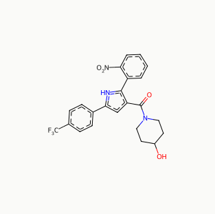 O=C(c1cc(-c2ccc(C(F)(F)F)cc2)[nH]c1-c1ccccc1[N+](=O)[O-])N1CCC(O)CC1